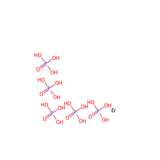 O=P(O)(O)O.O=P(O)(O)O.O=P(O)(O)O.O=P(O)(O)O.O=P(O)(O)O.[Er]